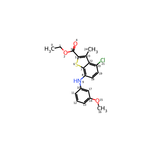 CCOC(=O)c1sc2c(Nc3cccc(OC)c3)ccc(Cl)c2c1C